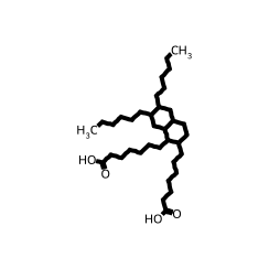 CCCCCCC1CC2CCC(CCCCCCC(=O)O)C(CCCCCCC(=O)O)C2CC1CCCCCC